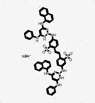 O=S(=O)([O-])c1cc(NN2N=C(Nc3cccc4ccccc34)C=C(Nc3ccccc3)N2)ccc1C=Cc1ccc(NN2N=C(Nc3cccc4ccccc34)C=C(Nc3ccccc3)N2)cc1S(=O)(=O)[O-].[Na+].[Na+]